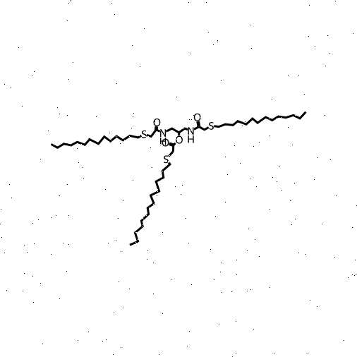 CCCCCCCCCCCCCCSCC(=O)NCC(CNC(=O)CSCCCCCCCCCCCCCC)OC(=O)CSCCCCCCCCCCCCCC